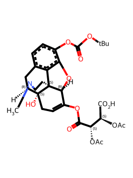 CC(=O)O[C@H](C(=O)O)[C@H](OC(C)=O)C(=O)OC1=CC[C@@]2(O)[C@H]3Cc4ccc(OC(=O)OC(C)(C)C)c5c4[C@@]2(CCN3C)[C@H]1O5